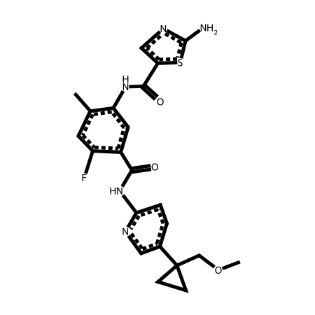 COCC1(c2ccc(NC(=O)c3cc(NC(=O)c4cnc(N)s4)c(C)cc3F)nc2)CC1